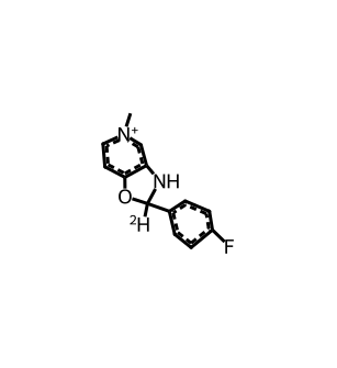 [2H]C1(c2ccc(F)cc2)Nc2c[n+](C)ccc2O1